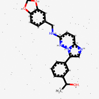 CC(O)c1cccc(-c2cnc3ccc(NCc4ccc5c(c4)OCO5)nn23)c1